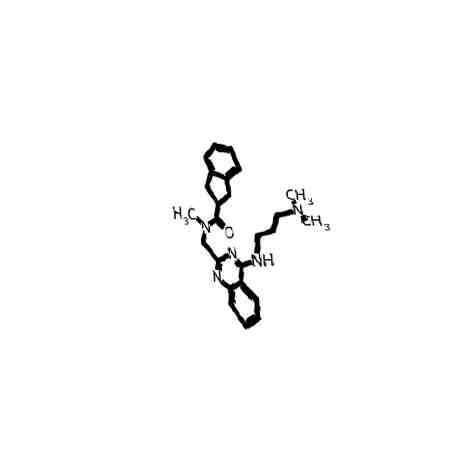 CN(C)CCCNc1nc(CN(C)C(=O)C2Cc3ccccc3C2)nc2ccccc12